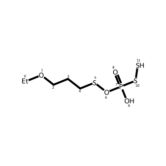 CCOCCCSOP(=O)(O)SS